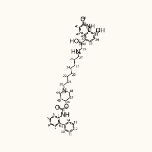 O=C(Nc1ccccc1-c1ccccc1)OC1CCN(CCCCCCCCNC[C@@H](O)c2ccc(O)c3[nH]c(=O)ccc23)CC1